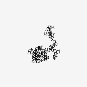 CCOC(=O)COC(=O)c1cc(Oc2ccc(C(F)(F)F)cc2Cl)ccc1[N+](=O)[O-].COc1nc(C)nc(NC(=O)NS(=O)(=O)c2ccccc2CCC(F)(F)F)n1.C[S+](C)C.O=C(Nc1nc(OC(F)F)cc(OC(F)F)n1)NS(=O)(=O)c1ccccc1C(=O)O.O=C(O)CNCP(=O)([O-])O